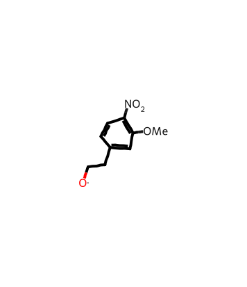 COc1cc(CC[O])ccc1[N+](=O)[O-]